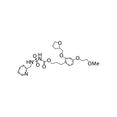 COCCOc1ccc(CCCOC(=O)NS(=O)(=O)NCc2ccccn2)c(OCC2CCCO2)c1